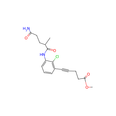 COC(=O)CCC#Cc1cccc(NC(=O)C(C)CCC(N)=O)c1Cl